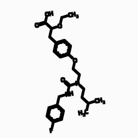 CCOC(Cc1ccc(OCCN(CCC(C)C)C(=O)NCc2ccc(F)cc2)cc1)C(=O)O